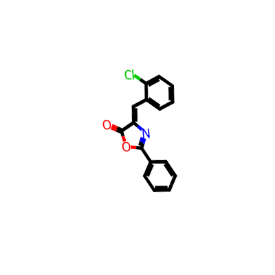 O=C1OC(c2ccccc2)=N/C1=C\c1ccccc1Cl